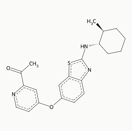 CC(=O)c1cc(Oc2ccc3nc(N[C@H]4CCCC[C@@H]4C)sc3c2)ccn1